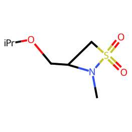 CC(C)OCC1CS(=O)(=O)N1C